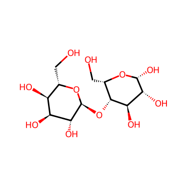 OC[C@@H]1O[C@@H](O[C@H]2[C@H](O)[C@@H](O)[C@@H](O)O[C@H]2CO)[C@H](O)[C@@H](O)[C@H]1O